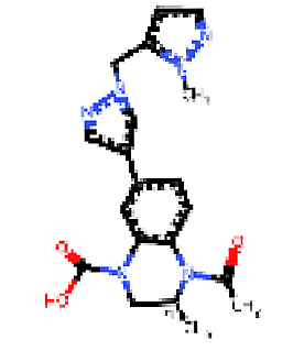 CC(=O)N1c2ccc(-c3cnn(Cc4ccnn4C)c3)cc2N(C(=O)O)C[C@@H]1C